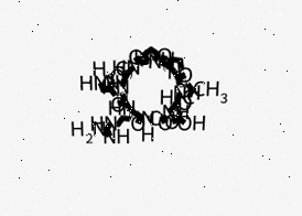 CC(C)C[C@@H]1NC(=O)[C@H](CC(=O)O)NC(=O)CNC(=O)[C@H](CCCNC(=N)N)NC(=O)[C@H](Cc2c[nH]cn2)NC(=O)[C@H](C)NC(=O)[C@@H]2CCCN2C(=O)[C@H]2CCCN2C1=O